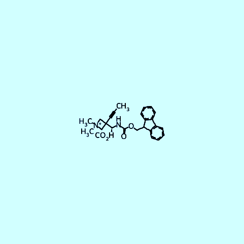 CC#CC1([C@@H](NC(=O)OCC2c3ccccc3-c3ccccc32)C(=O)O)C[N+](C)(C)C1